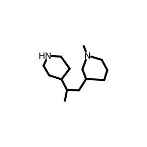 CC(CC1CCCN(C)C1)C1CCNCC1